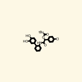 CC(C)(C)C(=O)OC(C(=O)Nc1ccccc1-c1ccc(O)c(O)c1)c1ccc(Cl)cc1